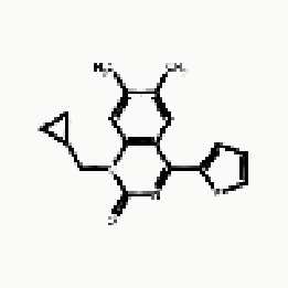 Cc1cc2c(-c3cccs3)nc(=O)n(CC3CC3)c2cc1C